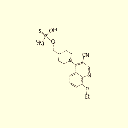 CCOc1cccc2c(N3CCC(COP(O)(O)=S)CC3)c(C#N)cnc12